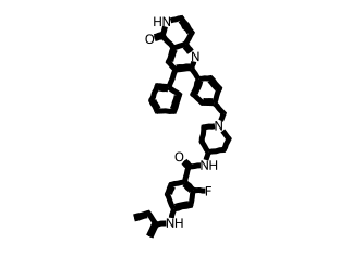 C=CC(=C)Nc1ccc(C(=O)NC2CCN(Cc3ccc(-c4nc5cc[nH]c(=O)c5cc4-c4ccccc4)cc3)CC2)c(F)c1